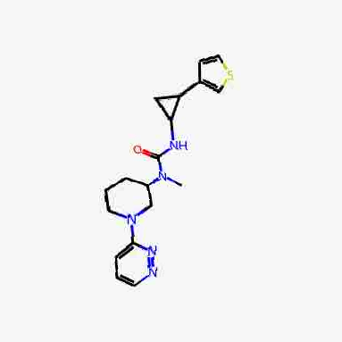 CN(C(=O)NC1CC1c1ccsc1)[C@@H]1CCCN(c2cccnn2)C1